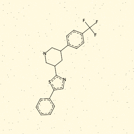 FC(F)(F)c1ccc(C2C[N]CC(c3ncc(-c4ccccc4)s3)C2)cc1